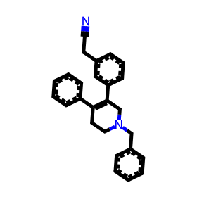 N#CCc1cccc(C2=C(c3ccccc3)CCN(Cc3ccccc3)C2)c1